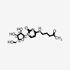 CC(=O)CCCNc1ccn([C@@H]2O[C@H](CO)[C@@H](O)[C@H]2O)c(=O)n1